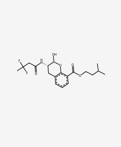 CC(C)CCOC(=O)c1cccc2c1OB(O)[C@@H](NC(=O)CC(C)(F)F)C2